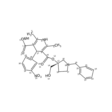 COC(=O)C1=C(C)NC(C)=C(C(=O)O[C@@]2(CO)CCN(Cc3ccccc3)C2)C1c1cccc([N+](=O)[O-])c1